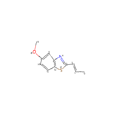 C/C=C/c1nc2cc(OC)ccc2s1